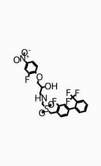 O=[N+]([O-])c1ccc(OCC(O)CNCS(=O)(=O)Cc2ccc(-c3ccccc3C(F)(F)F)cc2F)c(F)c1